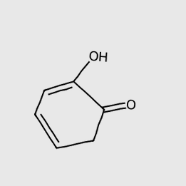 O=C1CC=CC=C1O